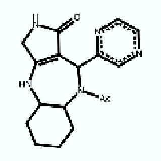 CC(=O)N1C(c2cnccn2)C2=C(CNC2=O)NC2CCCCC21